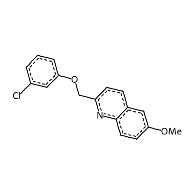 COc1ccc2nc(COc3cccc(Cl)c3)ccc2c1